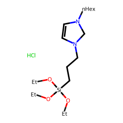 CCCCCCN1C=CN(CCC[Si](OCC)(OCC)OCC)C1.Cl